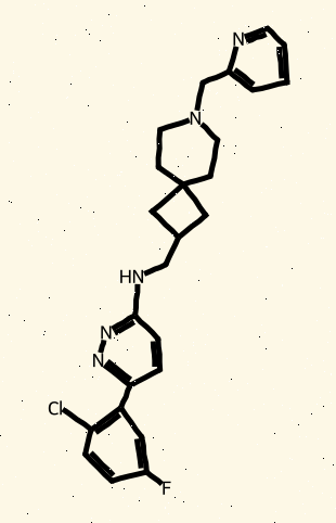 Fc1ccc(Cl)c(-c2ccc(NCC3CC4(CCN(Cc5ccccn5)CC4)C3)nn2)c1